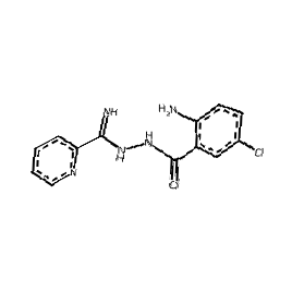 N=C(NNC(=O)c1cc(Cl)ccc1N)c1ccccn1